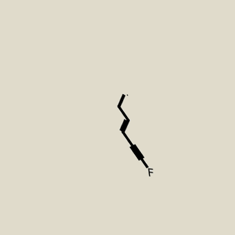 [CH2]C/C=C/C#CF